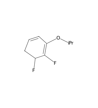 CC(C)OC1=C(F)C(F)CC=C1